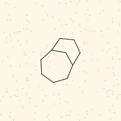 C1CCC2CCCC(C1)C2